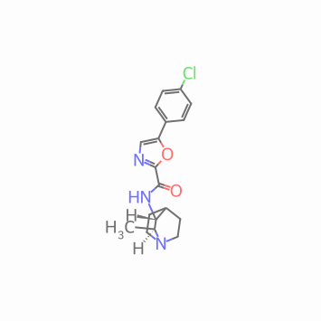 C[C@H]1[C@H](NC(=O)c2ncc(-c3ccc(Cl)cc3)o2)C2CCN1CC2